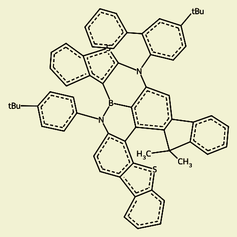 CC(C)(C)c1ccc(N2B3c4c(cc5c(c4-c4c2ccc2c4sc4ccccc42)C(C)(C)c2ccccc2-5)N(c2ccc(C(C)(C)C)cc2-c2ccccc2)c2sc4ccccc4c23)cc1